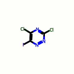 Clc1nnc(I)c(Cl)n1